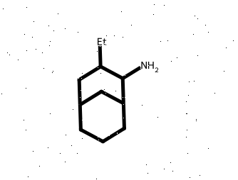 CCC1CC2CCCC(C2)C1N